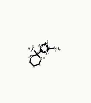 CC1(c2nnc(N)s2)SCCCS1